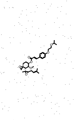 CO[C@H]1[C@H](C2(C)OC2CC=C(C)C)[C@]2(CC[C@H]1OC(=O)/C=C/c1ccc(OCCOC(C)C)cc1)CO2